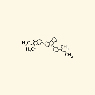 C=C/C=C(\C)c1cccc(-n2c3ccccc3c3cc(-c4ccc5sc(C=C)c(C=C)c5c4)ccc32)c1